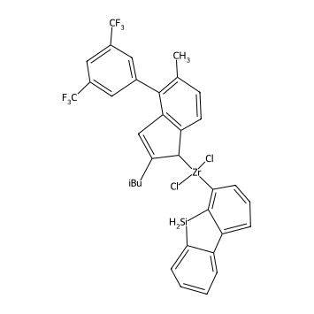 CCC(C)C1=Cc2c(ccc(C)c2-c2cc(C(F)(F)F)cc(C(F)(F)F)c2)[CH]1[Zr]([Cl])([Cl])[c]1cccc2c1[SiH2]c1ccccc1-2